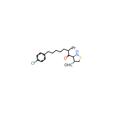 CC(C)C(CCCCCc1ccc(Cl)cc1)C(=O)C1NSC[C@H]1C=O